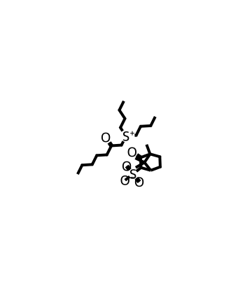 CC12CCC(C(S(=O)(=O)[O-])C1=O)C2(C)C.CCCCCC(=O)C[S+](CCCC)CCCC